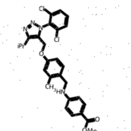 COC(=O)c1ccc(NCc2ccc(OCc3c(C(C)C)nnn3-c3c(Cl)cccc3Cl)cc2C)cc1